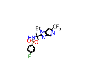 CCn1c(C(C)(C)NS(=O)(=O)c2ccc(F)cc2)nc2cnc(C(F)(F)F)cc21